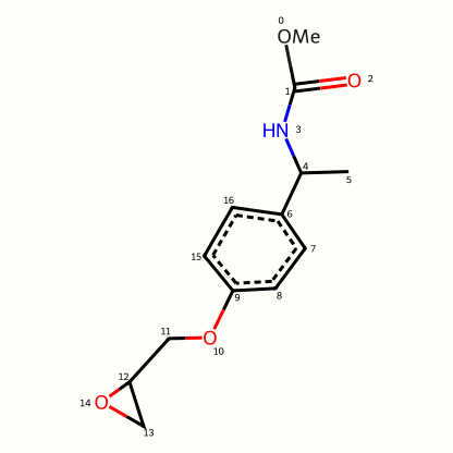 COC(=O)NC(C)c1ccc(OCC2CO2)cc1